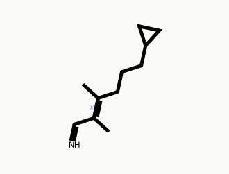 C/C(C=N)=C(/C)CCCC1CC1